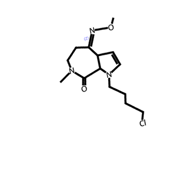 CO/N=C1/CCN(C)C(=O)C2C1C=CN2CCCCCl